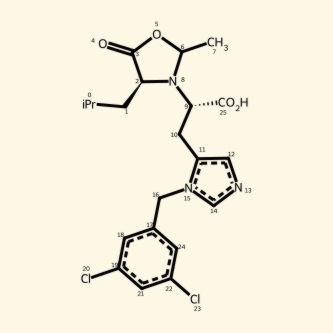 CC(C)C[C@H]1C(=O)OC(C)N1[C@@H](Cc1cncn1Cc1cc(Cl)cc(Cl)c1)C(=O)O